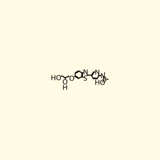 CB(O)N(C)c1ccc(-c2nc3ccc(OCC(O)CO)cc3s2)cn1